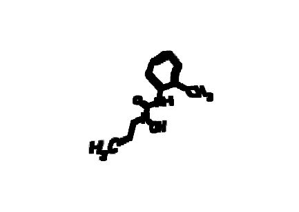 CCCN(O)C(=O)Nc1ccccc1C